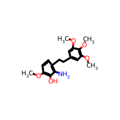 COc1ccc(CCc2cc(OC)c(OC)c(OC)c2)c(N)c1O